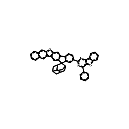 c1ccc(-c2nc(-c3ccc4c(c3)C3(c5cc6c(cc5-4)sc4cc5ccccc5cc46)C4CC5CC(C4)CC3C5)nc3c2sc2ccccc23)cc1